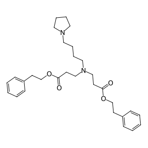 O=C(CCN(CCCCN1CCCC1)CCC(=O)OCCc1ccccc1)OCCc1ccccc1